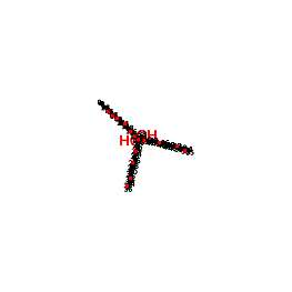 CCCCCC=CCC=CCCCCCCCCC(O)(CCCCCCCC=CCC=CCCCCC)C(O)CCCCCCCC=CCC=CCCCCC